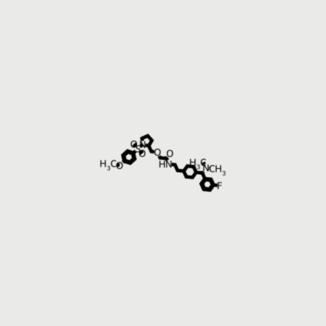 COc1ccc(S(=O)(=O)N2CCCC2COCC(=O)NCCC2CCC(C(c3cccc(F)c3)N(C)C)CC2)cc1